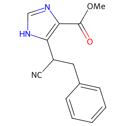 COC(=O)c1nc[nH]c1C(C#N)Cc1ccccc1